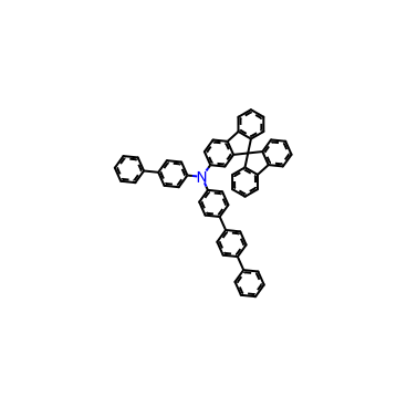 c1ccc(-c2ccc(-c3ccc(N(c4ccc(-c5ccccc5)cc4)c4ccc5c(c4)C4(c6ccccc6-c6ccccc64)c4ccccc4-5)cc3)cc2)cc1